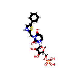 O=c1ccn([C@@H]2O[C@H](COP(=O)(O)O)C(O)C2O)c(=O)n1Cc1ncc(-c2ccccc2)s1